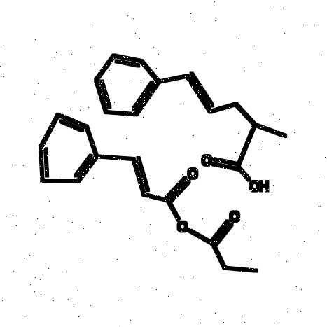 CC(CC=Cc1ccccc1)C(=O)O.CCC(=O)OC(=O)C=Cc1ccccc1